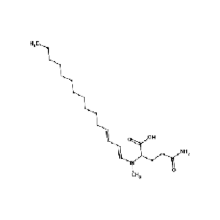 CCCCCCCCCCCC=CC=CN(C)C(CCC(N)=O)C(=O)O